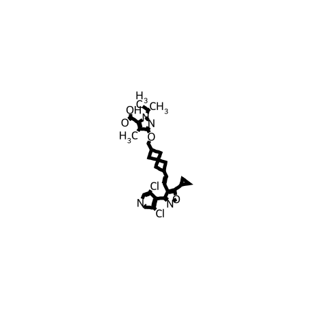 Cc1c(OCC2CC3(CC(C=Cc4c(-c5c(Cl)cncc5Cl)noc4C4CC4)C3)C2)nn(C(C)C)c1C(=O)O